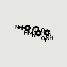 CC(=O)Nc1cc(Oc2ccc3nc(Nc4cccc(C(C)(C)C#N)c4)n4c3c2CCC4)ccn1